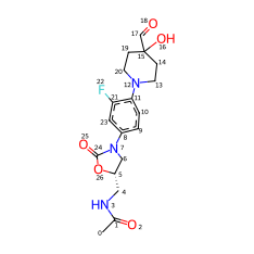 CC(=O)NC[C@H]1CN(c2ccc(N3CCC(O)(C=O)CC3)c(F)c2)C(=O)O1